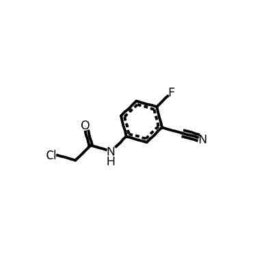 N#Cc1cc(NC(=O)CCl)ccc1F